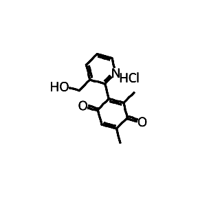 CC1=CC(=O)C(c2ncccc2CO)=C(C)C1=O.Cl